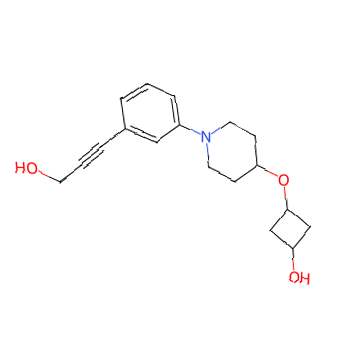 OCC#Cc1cccc(N2CCC(OC3CC(O)C3)CC2)c1